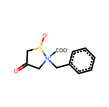 O=C1C[S+]([O-])[N+](Cc2ccccc2)(C(=O)[O-])C1